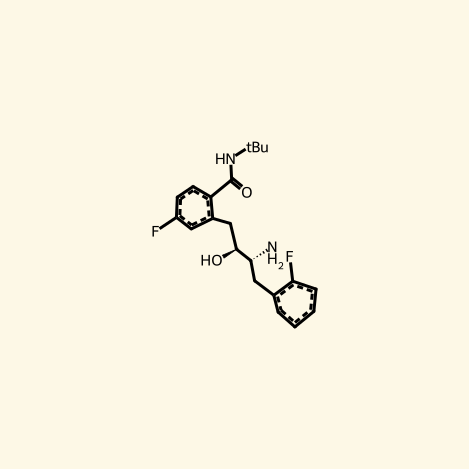 CC(C)(C)NC(=O)c1ccc(F)cc1C[C@H](O)[C@H](N)Cc1ccccc1F